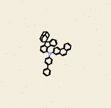 c1ccc(-c2ccc(N(c3ccc4c(ccc5ccccc54)c3)c3cccc4c3-c3ccccc3C43C4CC5CC(C4)CC3C5)cc2)cc1